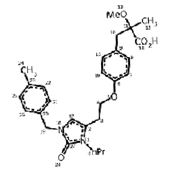 CCCn1c(CCOc2ccc(CC(C)(OC)C(=O)O)cc2)cn(Cc2ccc(C)cc2)c1=O